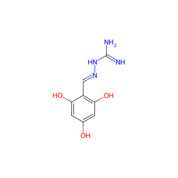 N=C(N)N/N=C/c1c(O)cc(O)cc1O